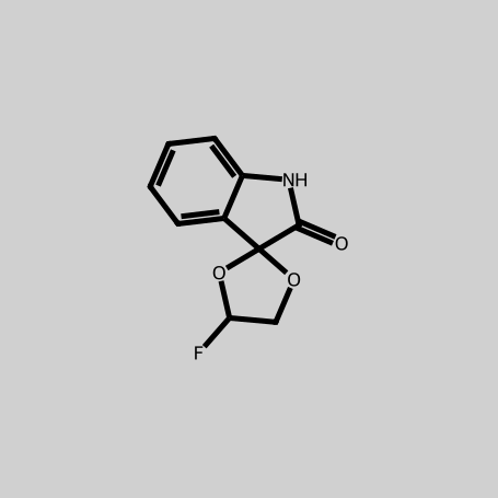 O=C1Nc2ccccc2C12OCC(F)O2